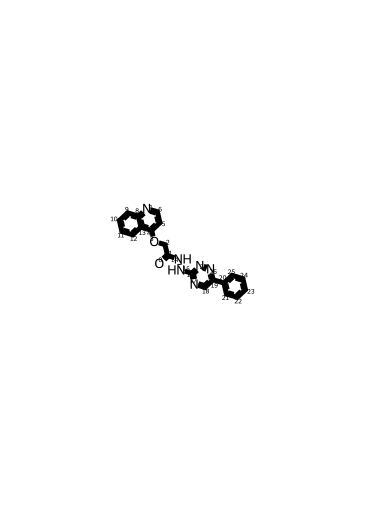 O=C(COc1ccnc2ccccc12)NNc1ncc(-c2ccccc2)nn1